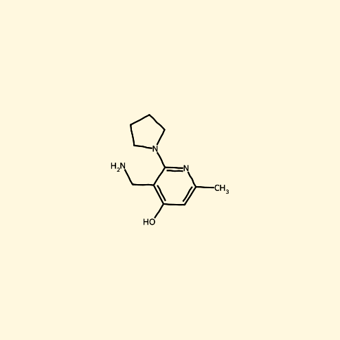 Cc1cc(O)c(CN)c(N2CCCC2)n1